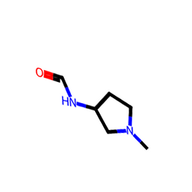 CN1CCC(NC=O)C1